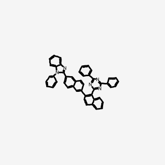 c1ccc(-c2nc(-c3ccccc3)nc(-c3c(-c4ccc5cc(-c6nc7ccccc7n6-c6ccccc6)ccc5c4)ccc4ccccc34)n2)cc1